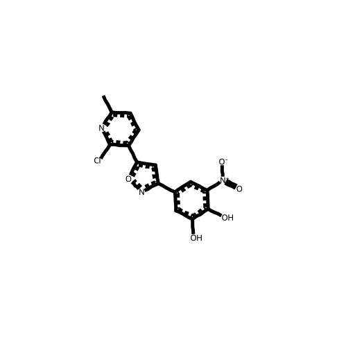 Cc1ccc(-c2cc(-c3cc(O)c(O)c([N+](=O)[O-])c3)no2)c(Cl)n1